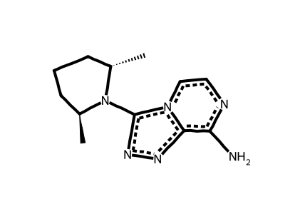 C[C@H]1CCC[C@H](C)N1c1nnc2c(N)nccn12